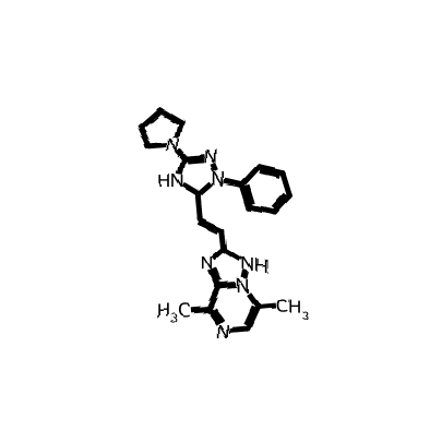 CC1=CN=C(C)C2=NC(/C=C/C3NC(N4CCCC4)=NN3c3ccccc3)NN12